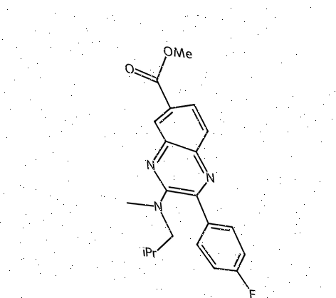 COC(=O)c1ccc2nc(-c3ccc(F)cc3)c(N(C)CC(C)C)nc2c1